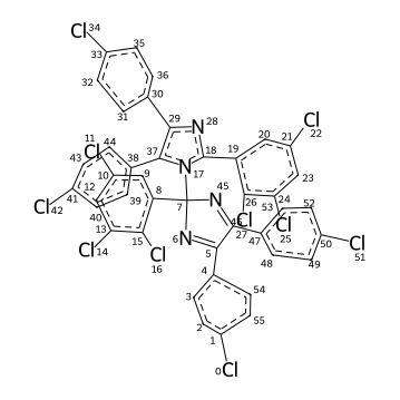 Clc1ccc(C2=NC(c3cc(Cl)cc(Cl)c3Cl)(n3c(-c4cc(Cl)cc(Cl)c4Cl)nc(-c4ccc(Cl)cc4)c3-c3ccc(Cl)cc3)N=C2c2ccc(Cl)cc2)cc1